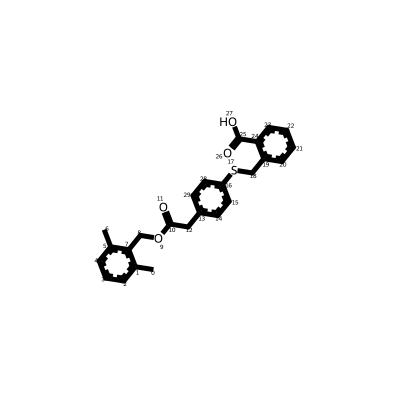 Cc1cccc(C)c1COC(=O)Cc1ccc(SCc2ccccc2C(=O)O)cc1